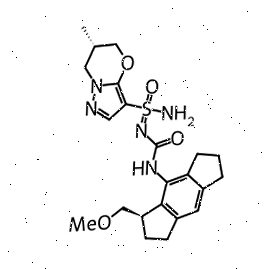 COC[C@@H]1CCc2cc3c(c(NC(=O)N=S(N)(=O)c4cnn5c4OC[C@@H](C)C5)c21)CCC3